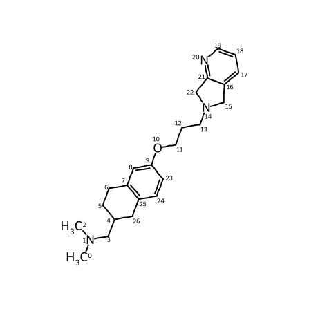 CN(C)CC1CCc2cc(OCCCN3Cc4cccnc4C3)ccc2C1